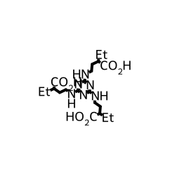 CCC(CCNc1nc(NCCC(CC)C(=O)O)nc(NCCC(CC)C(=O)O)n1)C(=O)O